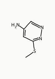 CSc1cc(N)cnn1